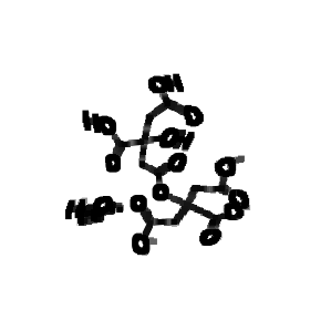 O.O=C([O-])CC(CC(=O)[O-])(OC(=O)CC(O)(CC(=O)O)C(=O)O)C(=O)[O-].[Fe+3]